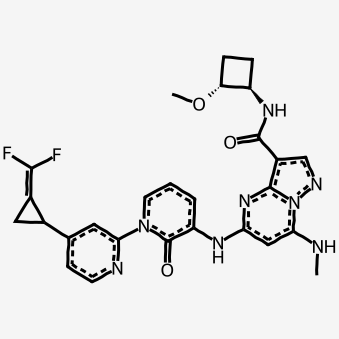 CNc1cc(Nc2cccn(-c3cc(C4CC4=C(F)F)ccn3)c2=O)nc2c(C(=O)N[C@@H]3CC[C@H]3OC)cnn12